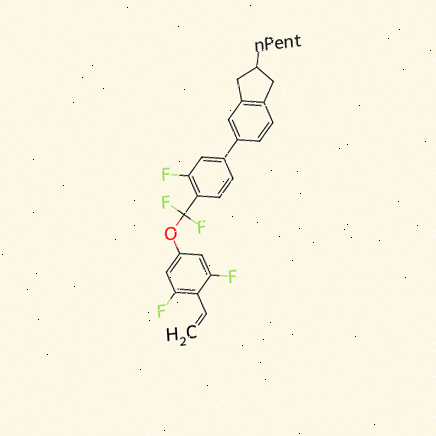 C=Cc1c(F)cc(OC(F)(F)c2ccc(-c3ccc4c(c3)CC(CCCCC)C4)cc2F)cc1F